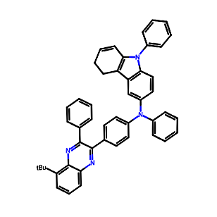 CC(C)(C)c1cccc2nc(-c3ccc(N(c4ccccc4)c4ccc5c(c4)c4c(n5-c5ccccc5)C=CCC4)cc3)c(-c3ccccc3)nc12